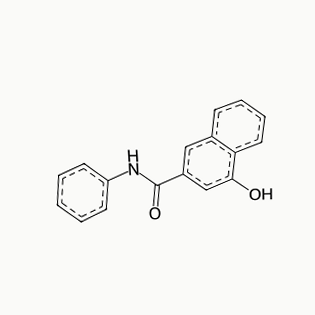 O=C(Nc1ccccc1)c1cc(O)c2ccccc2c1